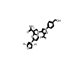 NC(=O)C1=C2N=C(N3C[C@H]4C[C@@H]3CO4)C=CN2N(c2cn(-c3ccc(CO)cc3)nc2C(F)F)C1